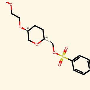 COCCO[C@H]1CC[C@H](COS(=O)(=O)c2ccc(C)cc2)OC1